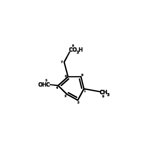 Cc1ccc(C=O)c(CC(=O)O)c1